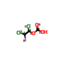 O=C(O)OC(Cl)C(Cl)I